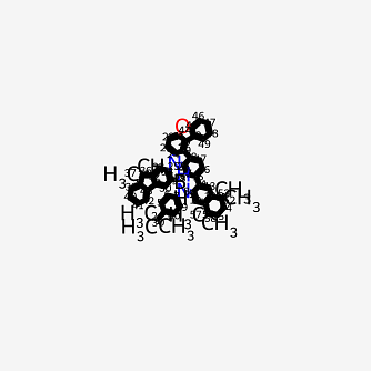 CC(C)(C)c1ccc(Nc2cc3c(cc2-c2ccc4c5c6c(ccc5n5c4c2Bc2cc4c(cc2-5)C(C)(C)c2ccccc2-4)oc2ccccc26)C(C)(C)CCC3(C)C)cc1